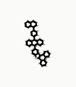 c1ccc2c(-c3ccc(-c4c5ccccc5c(-c5ccc6oc7c8ccccc8c8ccccc8c7c6c5)c5ccccc45)cc3)cccc2c1